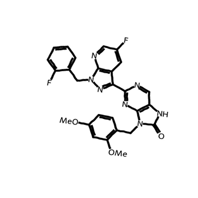 COc1ccc(Cn2c(=O)[nH]c3cnc(-c4nn(Cc5ccccc5F)c5ncc(F)cc45)nc32)c(OC)c1